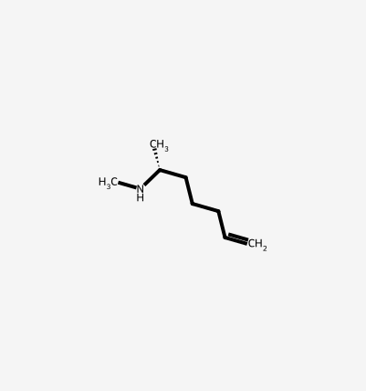 C=CCCC[C@@H](C)NC